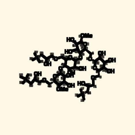 CO[C@H]1O[C@@H](CO[C@H]2O[C@@H](COCC(O)C[N+](C)(C)C)[C@H](O)C(O)C2O)[C@@H](O[C@@H]2OC(COCC(O)C[N+](C)(C)C)[C@@H](O[C@@H]3O[C@@H](COCC(O)C[N+](C)(C)C)[C@@H](OC)C(O)C3O)[C@@H](O)C2O)C(O)C1O